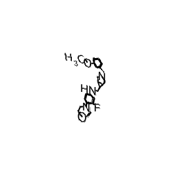 CCOc1cccc(CN2CC3C(CNc4ccc(N5CCOCC5)c(F)c4)C3C2)c1